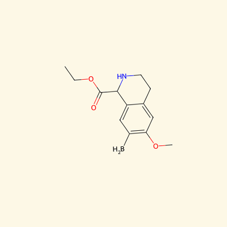 Bc1cc2c(cc1OC)CCNC2C(=O)OCC